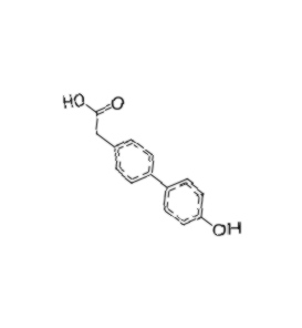 O=C(O)Cc1ccc(-c2ccc(O)cc2)cc1